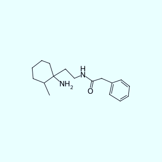 CC1CCCCC1(N)CCNC(=O)Cc1ccccc1